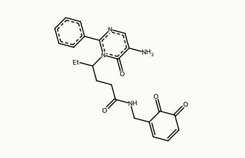 CCC(CCC(=O)NCC1=CC=CC(=O)C1=O)n1c(-c2ccccc2)ncc(N)c1=O